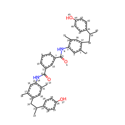 Cc1cc(NC(=O)c2cccc(C(=O)Nc3cc(C)c(CC(C)c4ccc(O)cc4)cc3C)c2)c(C)cc1CC(C)c1ccc(O)cc1